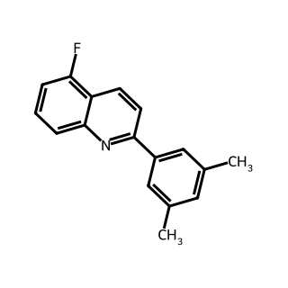 Cc1cc(C)cc(-c2ccc3c(F)cccc3n2)c1